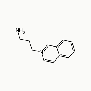 NCCC[n+]1ccc2ccccc2c1